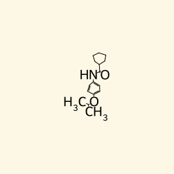 CC(C)Oc1ccc(NC(=O)C2CCCCC2)cc1